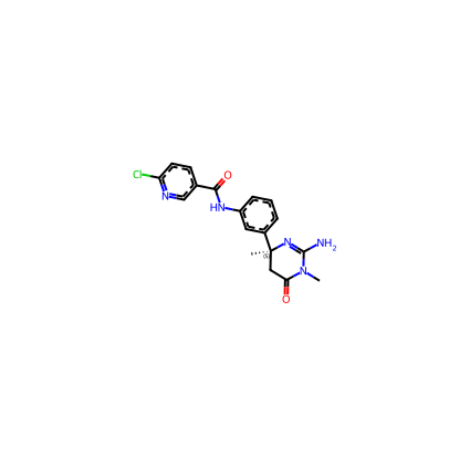 CN1C(=O)C[C@@](C)(c2cccc(NC(=O)c3ccc(Cl)nc3)c2)N=C1N